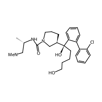 CNC[C@H](C)NC(=O)N1CCC[C@@H]([C@@](O)(CCCCO)c2ccccc2-c2ccccc2Cl)C1